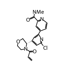 C=CC(=O)N1CCOC[C@@H]1c1cc(Cl)nc(-c2ccnc(C(=O)NC)c2)c1